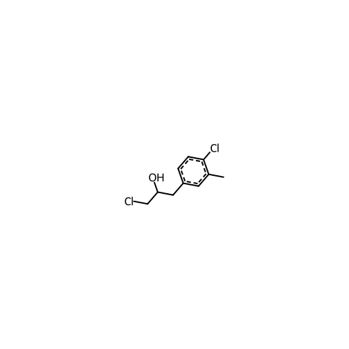 Cc1cc(CC(O)CCl)ccc1Cl